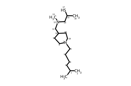 CC(C)CCCCN1CCC(CN(C)CC(C)S)CC1